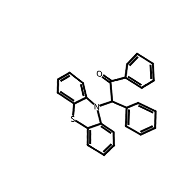 O=C(c1ccccc1)C(c1ccccc1)N1c2ccccc2Sc2ccccc21